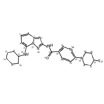 O=C(Nc1nc2cccc(NC3CCCCC3)n2n1)c1ccc(N2CCC(F)CC2)nc1